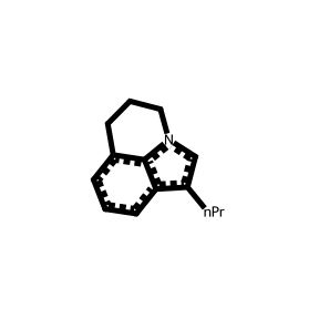 CCCc1cn2c3c(cccc13)CCC2